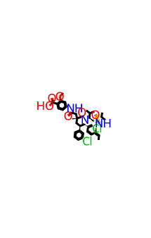 C=C(/C=C\C(Cl)=C/C)[C@@H]1[C@@H](c2cccc(Cl)c2)C[C@](C)(CC(=O)Nc2ccc(C(=O)O)c(OC)c2)C(=O)N1[C@H](CS(=N)(=O)C(C)C)C(C)C